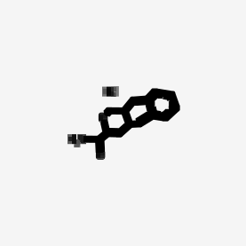 Cl.NC(=O)C1=CC2C=c3ccccc3=CC2CO1